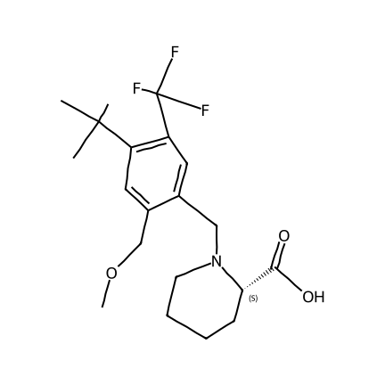 COCc1cc(C(C)(C)C)c(C(F)(F)F)cc1CN1CCCC[C@H]1C(=O)O